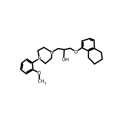 COc1ccccc1N1CCN(CC(O)COc2cccc3c2CCCC3)CC1